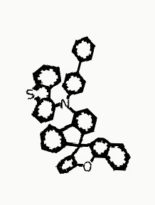 c1ccc(-c2ccc(N(c3cccc4c3-c3ccccc3C43c4ccccc4Oc4c3ccc3ccccc43)c3cccc4sc5ccccc5c34)cc2)cc1